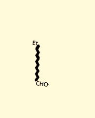 CC/C=C/C/C=C/CCCCCCC[C]=O